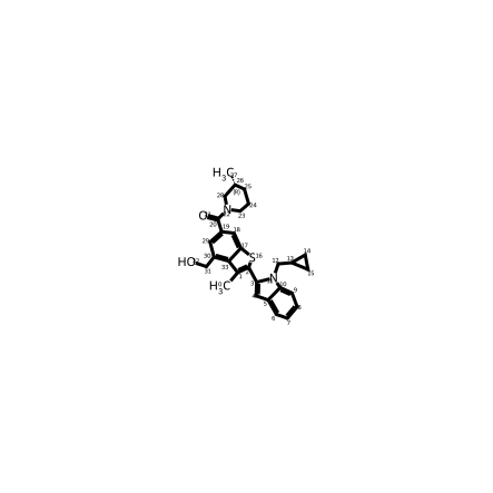 Cc1c(-c2cc3ccccc3n2CC2CC2)sc2cc(C(=O)N3CCC[C@@H](C)C3)cc(CO)c12